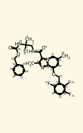 CCC(C)(CNC(=O)c1c(C)nc2c(OCc3c(F)ccc(F)c3F)cc(C)cn12)NC(=O)OCc1ccccc1